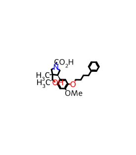 COc1ccc([C@@H]2CN(C(=O)O)C[C@@]2(C)[C@@H](C)O)cc1OCCCCc1ccccc1